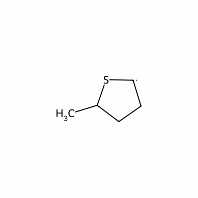 CC1CC[CH]S1